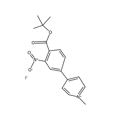 C[n+]1ccc(-c2ccc(C(=O)OC(C)(C)C)c([N+](=O)[O-])c2)cc1.[I-]